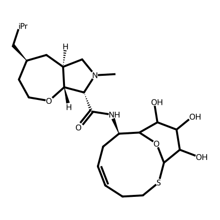 CC(C)C[C@@H]1CCO[C@@H]2[C@@H](C1)CN(C)[C@@H]2C(=O)N[C@@H]1C/C=C\CCSC2OC1C(O)C(O)C2O